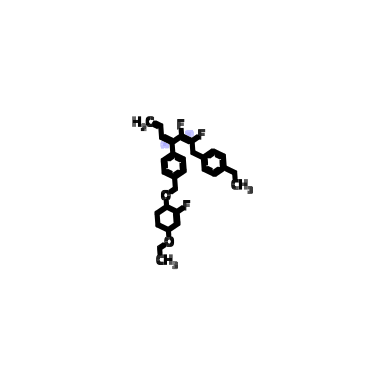 C=C/C=C(\C(F)=C(\F)Cc1ccc(CC)cc1)c1ccc(COC2CCC(OCC)C=C2F)cc1